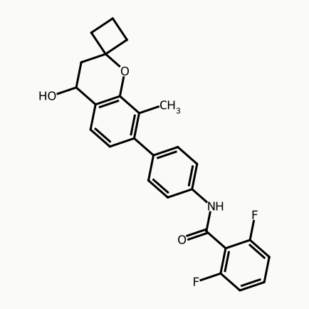 Cc1c(-c2ccc(NC(=O)c3c(F)cccc3F)cc2)ccc2c1OC1(CCC1)CC2O